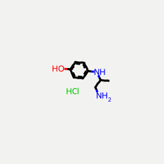 CC(CN)Nc1ccc(O)cc1.Cl